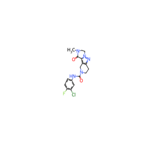 CN1CCn2nc3c(c2C1=O)CN(C(=O)Nc1ccc(F)c(Cl)c1)CC3